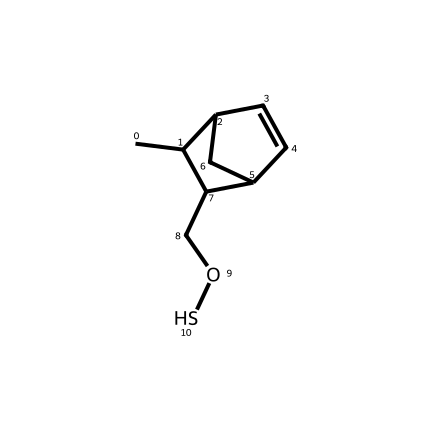 CC1C2C=CC(C2)C1COS